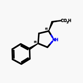 O=C(O)C[C@@H]1C[C@H](c2ccccc2)CN1